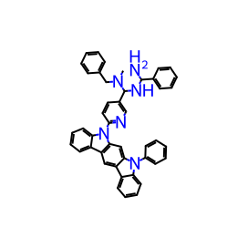 CN(Cc1ccccc1)C(NC(N)c1ccccc1)c1ccc(-n2c3ccccc3c3cc4c5ccccc5n(-c5ccccc5)c4cc32)nc1